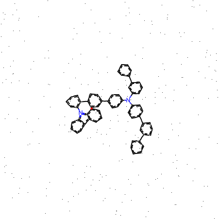 c1ccc(-c2cccc(-c3ccc(N(c4ccc(-c5ccc(-c6ccccc6-n6c7ccccc7c7ccccc76)cc5)cc4)c4cccc(-c5ccccc5)c4)cc3)c2)cc1